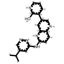 CC(C)c1cnnc(Nc2ccc3ncc(-c4cccnc4O)cc3n2)c1